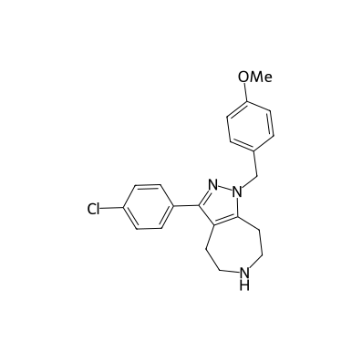 COc1ccc(Cn2nc(-c3ccc(Cl)cc3)c3c2CCNCC3)cc1